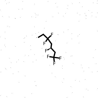 [CH2]CC(F)(F)C[C@H](F)CC(F)(F)F